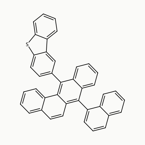 c1ccc2c(-c3c4ccccc4c(-c4ccc5sc6ccccc6c5c4)c4c3ccc3ccccc34)cccc2c1